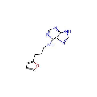 c1coc(CCCNc2ncnc3[nH]cnc23)c1